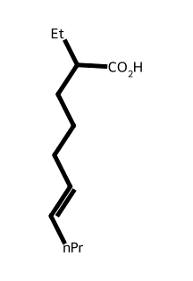 CCC/C=C/CCCC(CC)C(=O)O